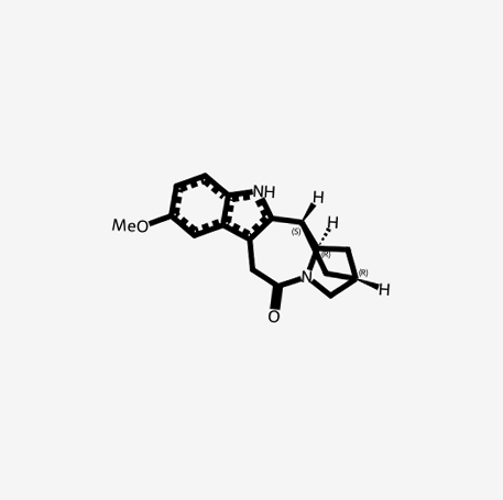 COc1ccc2[nH]c3c(c2c1)CC(=O)N1C[C@@H]2C[C@H]3[C@H]1C2